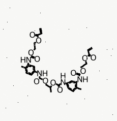 C=CC(=O)OCCOC(=O)Nc1cc(NC(=O)OCC(C)OC(=O)Nc2ccc(C)c(NC(=O)OCCOC(=O)C=C)c2)ccc1C